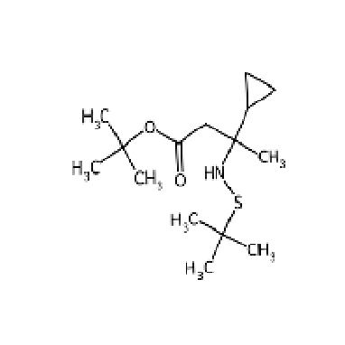 CC(C)(C)OC(=O)CC(C)(NSC(C)(C)C)C1CC1